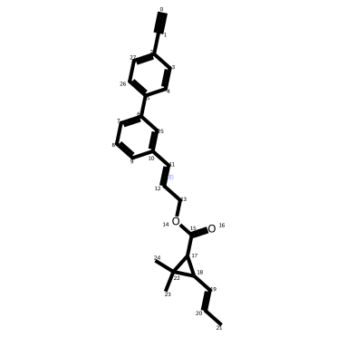 C#Cc1ccc(-c2cccc(/C=C/COC(=O)C3C(C=CC)C3(C)C)c2)cc1